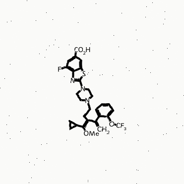 C=C(/C(CCN1CCN(c2nc3c(F)cc(C(=O)O)cc3s2)CC1)=C(\OC)C1CC1)c1ccccc1OC(F)(F)F